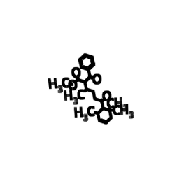 COC(=O)C(C(=O)c1ccccc1)C(C)CCC(=O)C1C(C)C=CCC1(C)C